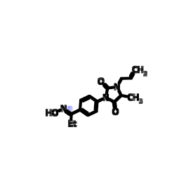 C=CCN1C(=O)N(c2ccc(/C(CC)=N/O)cc2)C(=O)C1C